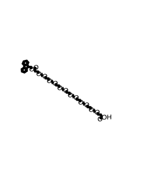 O=C(O)CCOCCOCCOCCOCCOCCOCCOCCOCCOCCOCCOCCOCCC(=O)OCC1c2ccccc2-c2ccccc21